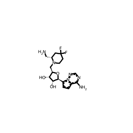 NC[C@@H]1CC(F)(F)CCN1C[C@H]1O[C@@H](c2ccc3c(N)ncnn23)[C@H](O)[C@@H]1O